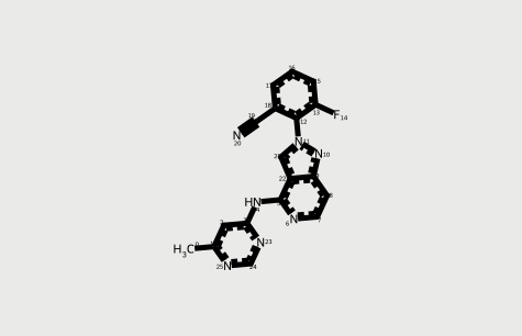 Cc1cc(Nc2nccc3nn(-c4c(F)cccc4C#N)cc23)ncn1